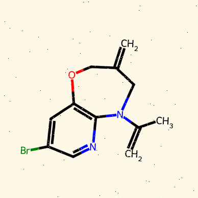 C=C1COc2cc(Br)cnc2N(C(=C)C)C1